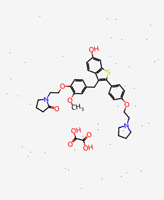 COc1cc(Cc2c(-c3ccc(OCCN4CCCC4)cc3)sc3cc(O)ccc23)ccc1OCCN1CCCC1=O.O=C(O)C(=O)O